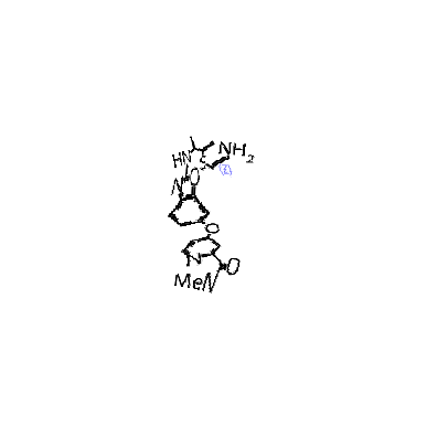 C=C(S/C=C\N)C(C)Nc1nc2ccc(Oc3ccnc(C(=O)NC)c3)cc2o1